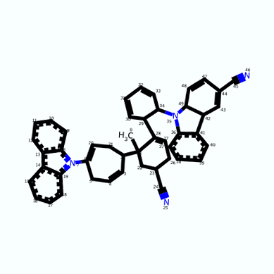 CC1(C2C=CCC(n3c4ccccc4c4ccccc43)=CC2)CC(C#N)CC=C1C1C=CC=CC1N1c2ccccc2C2C=C(C#N)C=CC21